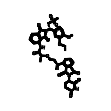 CCOc1cc([C@@H](CS(C)(=O)=O)N2C(=O)c3cccc(NC(=O)C(C)OCCNc4cccc5c4C(=O)N(C4CCC(=O)NC4=O)C5=O)c3C2=O)ccc1OC